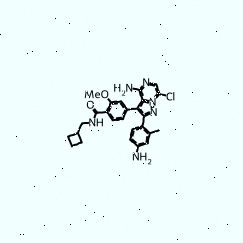 COc1cc(-c2c(-c3ccc(N)cc3C)nn3c(Cl)cnc(N)c23)ccc1C(=O)NCC1CCC1